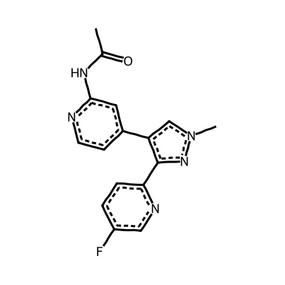 CC(=O)Nc1cc(-c2cn(C)nc2-c2ccc(F)cn2)ccn1